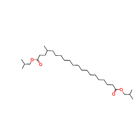 CC(C)COC(=O)CCCCCCCCCCCCCCCC(C)CCC(=O)OCC(C)C